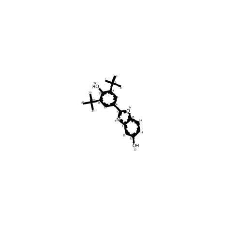 CC(C)(C)c1cc(-c2nc3cc(O)ccc3o2)cc(C(C)(C)C)c1O